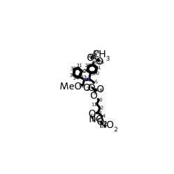 COC(=O)/C(=C(\COC(=O)OCCCC(CO[N+](=O)[O-])O[N+](=O)[O-])c1ccc(S(C)(=O)=O)cc1)c1ccccc1